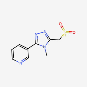 Cn1c(C[SH](=O)=O)nnc1-c1cccnc1